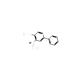 Cc1ccc(-c2ccccc2)cc1[N+](=O)O